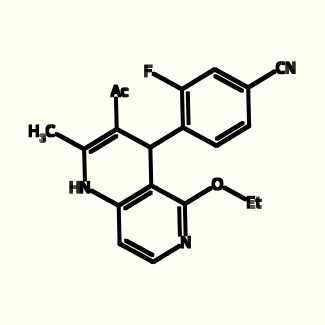 CCOc1nccc2c1C(c1ccc(C#N)cc1F)C(C(C)=O)=C(C)N2